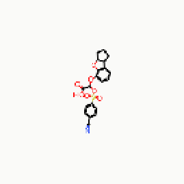 N#Cc1ccc(S(=O)(=O)OC(Oc2cccc3c2OC2CCCC32)C(=O)O)cc1